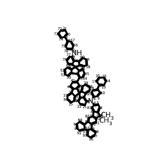 CC1(C)c2ccc(N(c3ccc(-c4ccccc4)cc3)c3cccc4c3-c3ccccc3C43c4ccccc4-c4ccc(-c5cccc6c5-c5ccccc5C65c6ccccc6-c6c(Nc7ccc(-c8ccccc8)cc7)cccc65)cc43)cc2-c2cc3c4ccccc4c4ccccc4c3cc21